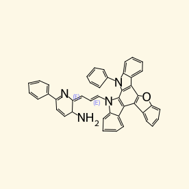 NC1C=CC(c2ccccc2)=N/C1=C/C=C/n1c2ccccc2c2c3c4ccccc4oc3c3c4ccccc4n(-c4ccccc4)c3c21